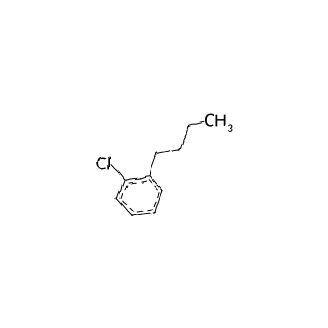 CCCCc1ccccc1Cl